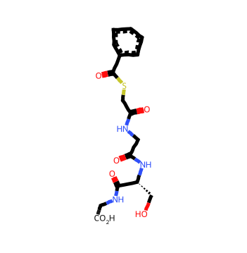 O=C(O)CNC(=O)[C@@H](CO)NC(=O)CNC(=O)CSC(=O)c1ccccc1